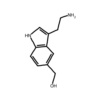 NCCc1c[nH]c2ccc(CO)cc12